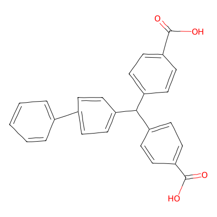 O=C(O)c1ccc(C(c2ccc(C(=O)O)cc2)c2ccc(-c3ccccc3)cc2)cc1